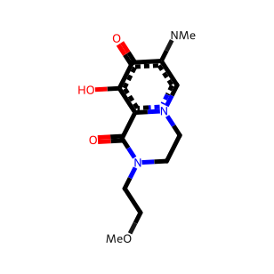 CNc1cn2c(c(O)c1=O)C(=O)N(CCOC)CC2